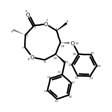 C[C@@H]1OC(=O)[C@@H](C)COC[C@H](Cc2ccccc2)[C@H]1Oc1ccccc1